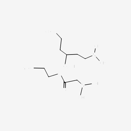 CCCCCCCCCCCCC(CCN(C)C)C(=O)O.CCCCCCCCCCCCOC(=O)CN(C)C